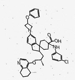 C[C@@H](COc1ccnc2c1[C@H](C)CCC2)CC1Cc2ccc(N3CC(Oc4ccccc4)C3)cc2C12CCC(Nc1cccc(Cl)c1)(C(=O)O)CC2